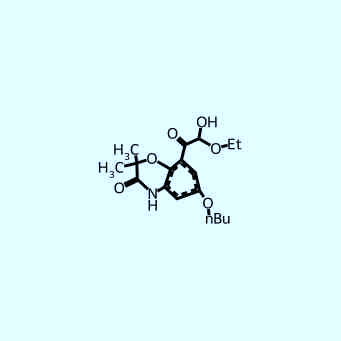 CCCCOc1cc2c(c(C(=O)C(O)OCC)c1)OC(C)(C)C(=O)N2